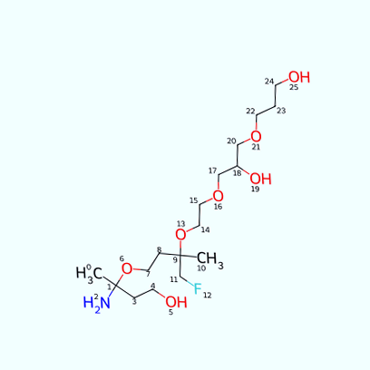 CC(N)(CCO)OCCC(C)(CF)OCCOCC(O)COCCCO